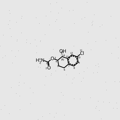 NC(=O)OC1CCc2ccc(Cl)cc2[C@H]1O